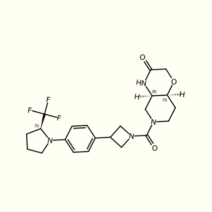 O=C1CO[C@H]2CCN(C(=O)N3CC(c4ccc(N5CCC[C@H]5C(F)(F)F)cc4)C3)C[C@H]2N1